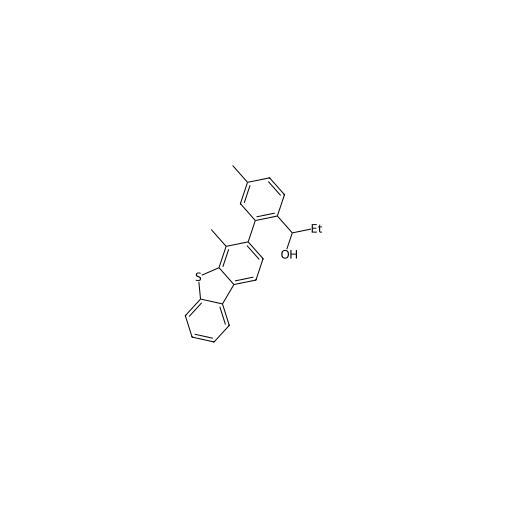 CCC(O)c1ccc(C)cc1-c1ccc2c(sc3ccccc32)c1C